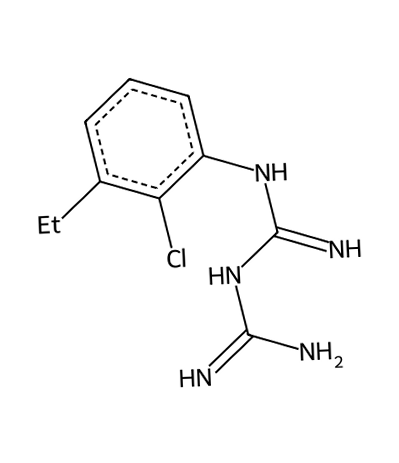 CCc1cccc(NC(=N)NC(=N)N)c1Cl